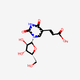 O=C(O)C=Cc1cn([C@@H]2O[C@H](CO)[C@H](O)[C@H]2O)c(=O)[nH]c1=O